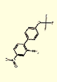 Nc1cc([N+](=O)[O-])ccc1-c1ccc(OC(F)(F)F)cc1